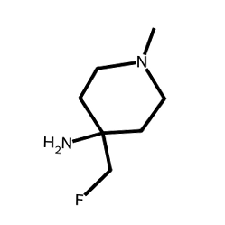 CN1CCC(N)(CF)CC1